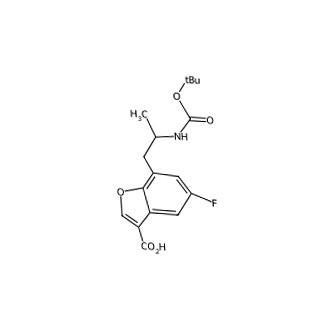 CC(Cc1cc(F)cc2c(C(=O)O)coc12)NC(=O)OC(C)(C)C